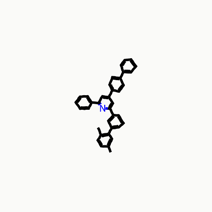 Cc1ccc(C)c(-c2cccc(-c3cc(-c4ccc(-c5ccccc5)cc4)cc(-c4ccccc4)n3)c2)c1